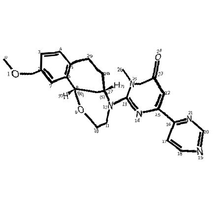 COc1ccc2c(c1)[C@H]1OCCN(c3nc(-c4ccncn4)cc(=O)n3C)[C@H]1CC2